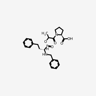 CC(O[PH](=O)[C@@H](CCc1ccccc1)NCc1ccccc1)C(=O)N1CCC[C@H]1C(=O)O